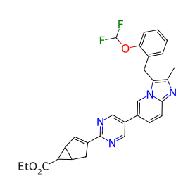 CCOC(=O)C1C2C=C(c3ncc(-c4ccc5nc(C)c(Cc6ccccc6OC(F)F)n5c4)cn3)CC21